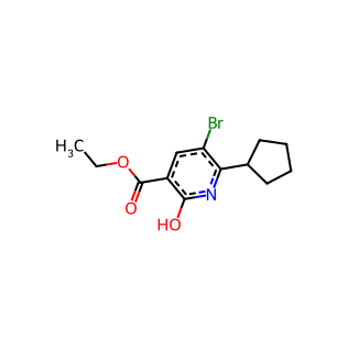 CCOC(=O)c1cc(Br)c(C2CCCC2)nc1O